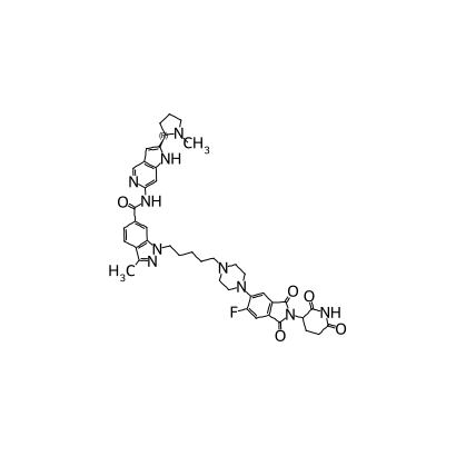 Cc1nn(CCCCCN2CCN(c3cc4c(cc3F)C(=O)N(C3CCC(=O)NC3=O)C4=O)CC2)c2cc(C(=O)Nc3cc4[nH]c([C@H]5CCCN5C)cc4cn3)ccc12